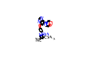 Cc1cc(C#N)cnc1NC1CCC(Oc2cc(N3CCOCC3)cc3nccnc23)CC1